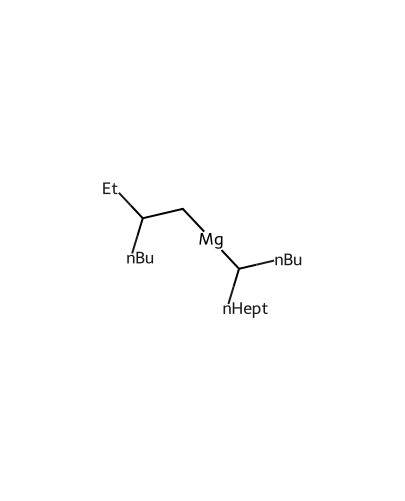 CCCCCCC[CH](CCCC)[Mg][CH2]C(CC)CCCC